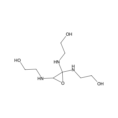 OCCNC1OC1(NCCO)NCCO